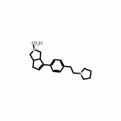 CCOC(=O)N1CC2CC=C(c3ccc(CCN4CCCC4)cc3)C2C1